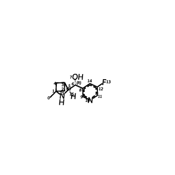 CC12CC(C1)[C@@H]([C@H](O)c1cncc(F)c1)N2